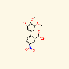 COc1cc(-c2ccc([N+](=O)[O-])cc2C(=O)O)cc(OC)c1OC